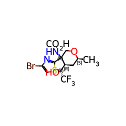 C[C@H]1C[C@@H]([C@@H](O)C(F)(F)F)[C@](NC(=O)O)(c2nc(Br)cs2)CO1